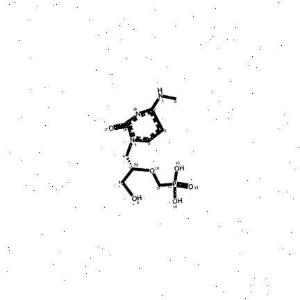 CNc1ccn(C[C@@H](CO)OCP(=O)(O)O)c(=O)n1